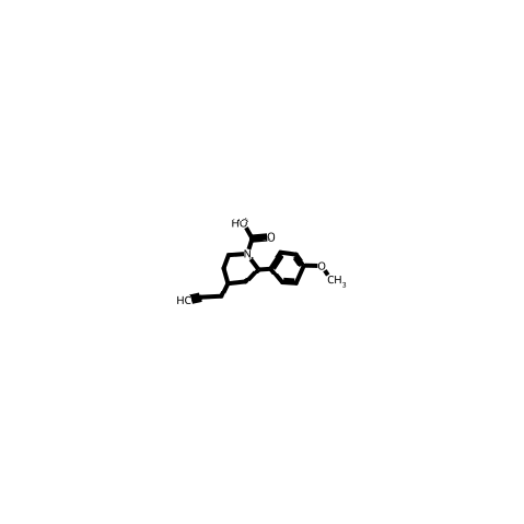 C#CCC1CCN(C(=O)O)C(c2ccc(OC)cc2)C1